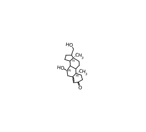 C[C@]12CCC3C(C1CCC2CO)[C@H](O)CC1=CC(=O)CC[C@@]13C